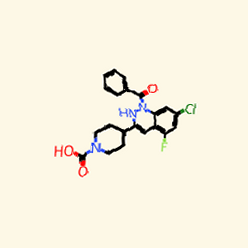 O=C(O)N1CCC(C2=Cc3c(F)cc(Cl)cc3N(C(=O)c3ccccc3)N2)CC1